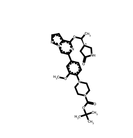 COc1cc(-c2cn3nccc3c(OC(C)[C@H]3CNC(=O)C3)n2)ccc1N1CCN(C(=O)OC(C)(C)C)CC1